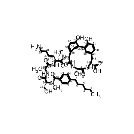 CCCCCCc1ccc(C(=O)N(C)[C@H](CO)C(=O)N[C@H](C)C(=O)N[C@@H](CCCCN)C(=O)N(C)[C@@H]2C(=O)N[C@@H](C)C(=O)N[C@H](C(=O)O)Cc3ccc(O)c(c3)-c3cc2ccc3O)cc1